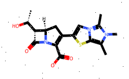 Cc1c2sc(C3=C(C(=O)[O-])N4C(=O)[C@H]([C@@H](C)O)[C@H]4C3)c[n+]2c(C)n1C